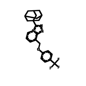 FC(F)(F)c1ccc(OCc2cccn3c(C45CC6CC(CC(C6)C4)C5)nnc23)cc1